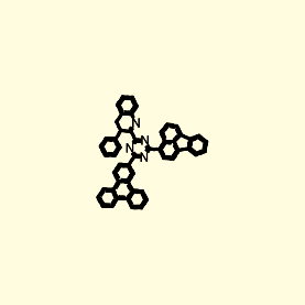 c1ccc(C2Cc3ccccc3N=C2c2nc(-c3ccc4c5ccccc5c5ccccc5c4c3)nc(-c3ccc4c5c(cccc35)-c3ccccc3-4)n2)cc1